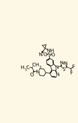 CC(C)C(=O)N1CCC(c2ccnc3c2c2ccc(S(=O)(=O)NC4(C#N)CC4)cc2n3-c2nnc(C(F)F)s2)CC1